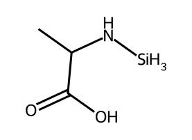 CC(N[SiH3])C(=O)O